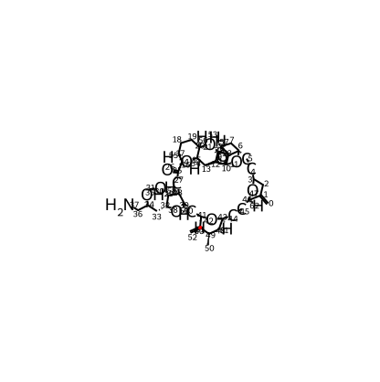 C=C1CC2CC[C@]34C[C@H]5OC6(O3)C3C(O4)[C@H]4O[C@H](CC[C@@H]4O[C@H]3C56)CC(=O)C[C@@H]3[C@@H](OC)[C@@H](CC(O)CN)O[C@H]3C[C@H]3O[C@@H](CC[C@@H]1O2)C[C@@H](C)C3=C